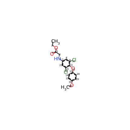 CCOC(=O)CNc1cc(Cl)c(Oc2ccc(OC)cc2)c(Cl)c1